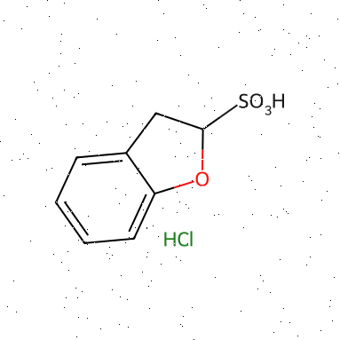 Cl.O=S(=O)(O)C1Cc2ccccc2O1